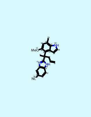 C=CCC(C)(c1nc2cc(C#N)ccc2[nH]1)c1c(OC)cc(C)c2[nH]ccc12